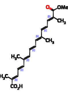 COC(=O)/C(C)=C/C=C/C(C)=C/C=C/C=C(C)/C=C/C=C(\C)C(=O)O